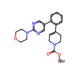 CC(C)(C)OC(=O)N1CC=C(c2ccccc2-c2cnc(N3CCOCC3)nc2)CC1